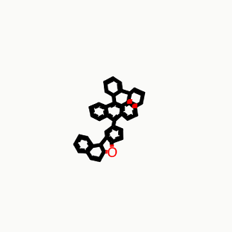 C1=CCC(c2c3ccccc3c(-c3ccc4c(c3)C3c5ccccc5C=CC3O4)c3ccccc23)C(C2C=CCCC2)=C1